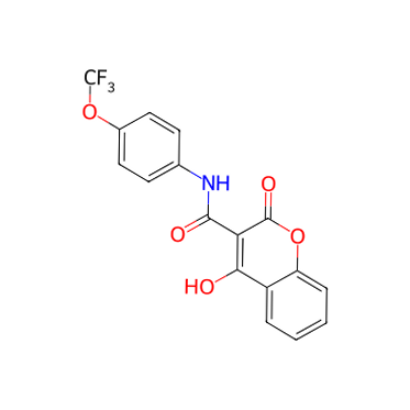 O=C(Nc1ccc(OC(F)(F)F)cc1)c1c(O)c2ccccc2oc1=O